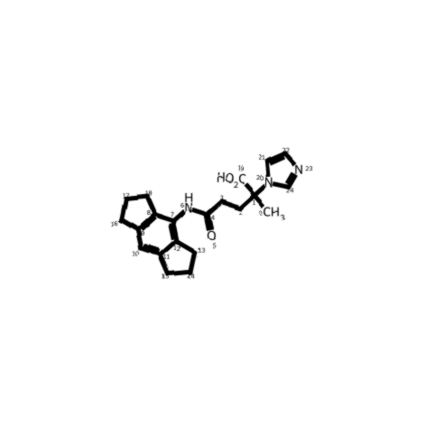 CC(CCC(=O)Nc1c2c(cc3c1CCC3)CCC2)(C(=O)O)n1ccnc1